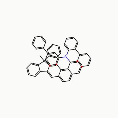 CC1(c2ccccc2)c2ccccc2-c2cc3ccc4cccc(N(c5cccc(-c6ccccc6)c5)c5ccccc5-c5ccccc5)c4c3cc21